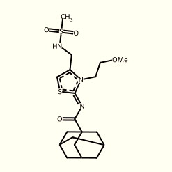 COCCn1c(CNS(C)(=O)=O)csc1=NC(=O)C12CC3CC(CC(C3)C1)C2